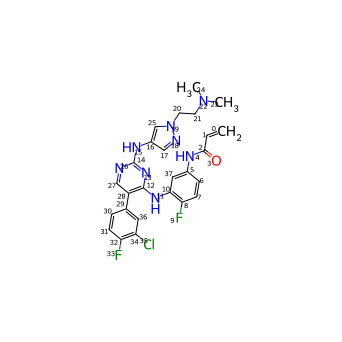 C=CC(=O)Nc1ccc(F)c(Nc2nc(Nc3cnn(CCN(C)C)c3)ncc2-c2ccc(F)c(Cl)c2)c1